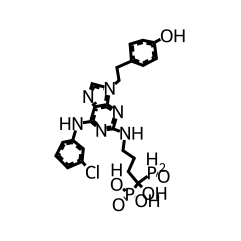 O=[PH2]C(O)(CCCNc1nc(Nc2cccc(Cl)c2)c2ncn(CCc3ccc(O)cc3)c2n1)P(=O)(O)O